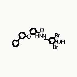 O=C(NN=Cc1cc(Br)c(O)c(Br)c1)c1cccc(Oc2cccc(-c3ccccc3)c2)c1